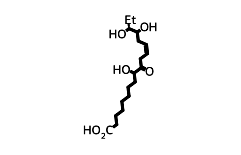 CC[C@H](O)C(O)C/C=C\CC(=O)C(O)CCCCCCCC(=O)O